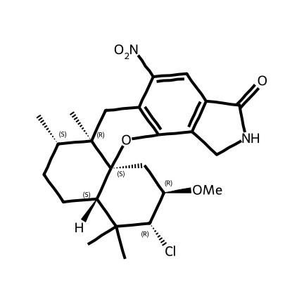 CO[C@@H]1C[C@@]23Oc4c5c(cc([N+](=O)[O-])c4C[C@]2(C)[C@@H](C)CC[C@H]3C(C)(C)[C@H]1Cl)C(=O)NC5